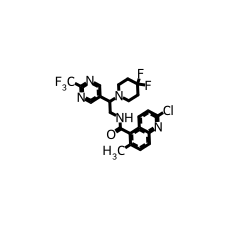 Cc1ccc2nc(Cl)ccc2c1C(=O)NCC(c1cnc(C(F)(F)F)nc1)N1CCC(F)(F)CC1